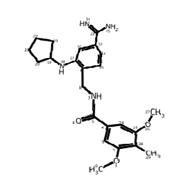 COc1cc(C(=O)NCc2ccc(C(=N)N)cc2NC2CCCC2)cc(OC)c1C